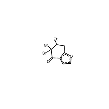 CCC1Cc2occc2C(=O)C1(Br)Br